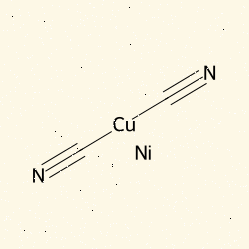 N#[C][Cu][C]#N.[Ni]